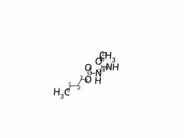 CCCCOC(=O)NC(=N)OC